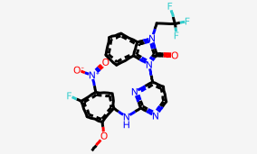 COc1cc(F)c([N+](=O)[O-])cc1Nc1nccc(-n2c(=O)n(CC(F)(F)F)c3ccccc32)n1